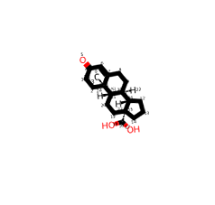 C[C@]12CCC(=O)C=C1CC[C@H]1[C@@H]3CCC[C@@]3(C(O)O)CC[C@@H]12